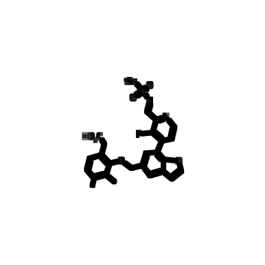 Cc1ccc(CC(=O)O)c(OCc2cc(-c3ccnc(C=NS(=O)(=O)C(C)(C)C)c3F)c3occc3c2)c1C